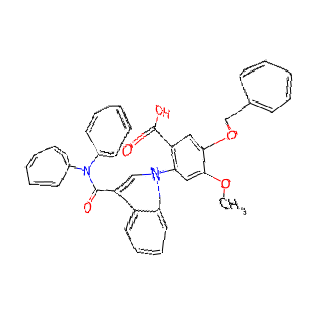 COc1cc(-n2cc(C(=O)N(c3ccccc3)c3ccccc3)c3ccccc32)c(C(=O)O)cc1OCc1ccccc1